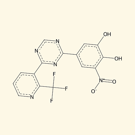 O=[N+]([O-])c1cc(-c2ncnc(-c3cccnc3C(F)(F)F)n2)cc(O)c1O